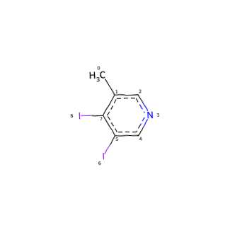 Cc1cncc(I)c1I